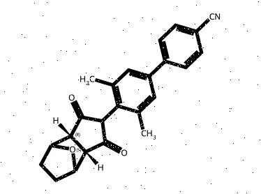 Cc1cc(-c2ccc(C#N)cc2)cc(C)c1C1C(=O)[C@@H]2C3CCC(O3)[C@@H]2C1=O